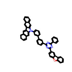 C1=Cc2cc3c(cc2CC1)c1cc2ccccc2cc1n3-c1cccc(-c2cccc(-c3nc(-c4ccccc4)nc(-c4ccc5oc6ccccc6c5c4)n3)c2)c1